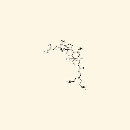 CC(C)CCC[C@@H](C)[C@H]1CCC2C3C(CC[C@@]21C)[C@@]1(C)CCC(NCCN(CCN)CCN)C[C@@H]1C[C@H]3O